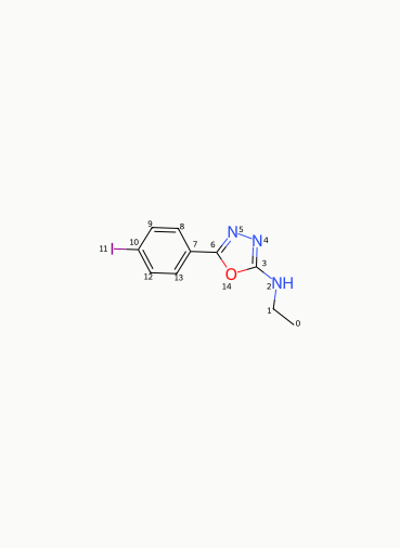 CCNc1nnc(-c2ccc(I)cc2)o1